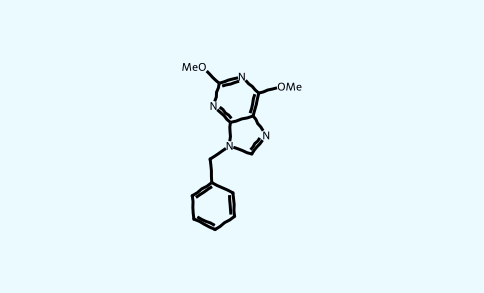 COc1nc(OC)c2ncn(Cc3ccccc3)c2n1